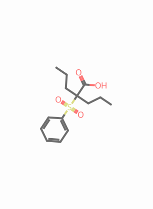 CCCC(CCC)(C(=O)O)S(=O)(=O)c1ccccc1